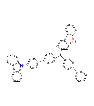 c1ccc(-c2ccc(C(c3ccc(-c4ccc(-n5c6ccccc6c6ccccc65)cc4)cc3)c3ccc4c(c3)oc3ccccc34)cc2)cc1